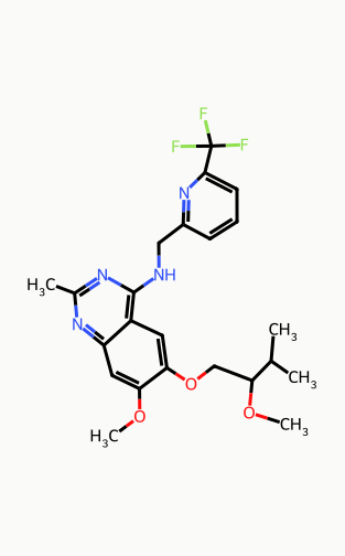 COc1cc2nc(C)nc(NCc3cccc(C(F)(F)F)n3)c2cc1OCC(OC)C(C)C